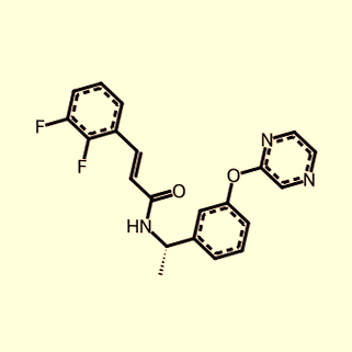 C[C@H](NC(=O)/C=C/c1cccc(F)c1F)c1cccc(Oc2cnccn2)c1